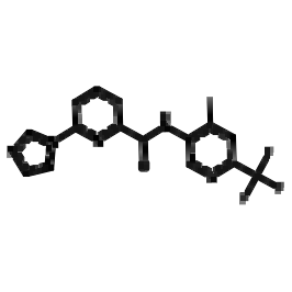 Cc1cc(C(F)(F)F)ncc1NC(=O)c1cccc(-n2ccnc2)n1